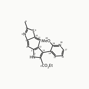 CCOC(=O)c1[nH]c2cc3nc(C)sc3cc2c1-c1cccnc1OC